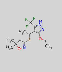 CCOc1n[nH]c(C(F)(F)F)c1C(C)SC1=NOC(C)(C)C1